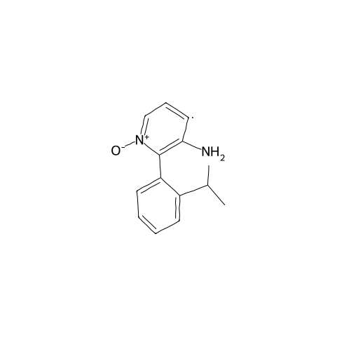 CC(C)c1ccccc1-c1c(N)[c]cc[n+]1[O-]